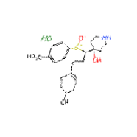 Cl.N#Cc1ccc(CCC([S+]([O-])c2ccc(C(=O)O)cc2)C2(O)CCNCC2)cc1